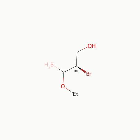 BC(OCC)[C@H](Br)CO